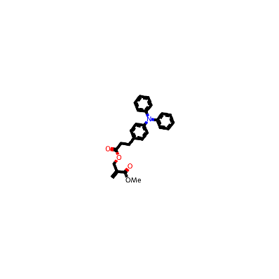 C=C(COC(=O)CCc1ccc(N(c2ccccc2)c2ccccc2)cc1)C(=O)OC